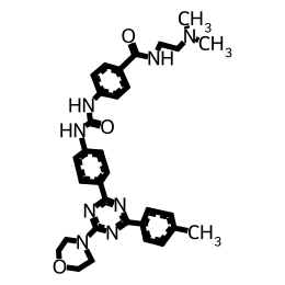 Cc1ccc(-c2nc(-c3ccc(NC(=O)Nc4ccc(C(=O)NCCN(C)C)cc4)cc3)nc(N3CCOCC3)n2)cc1